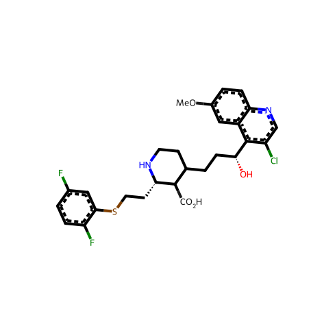 COc1ccc2ncc(Cl)c([C@H](O)CCC3CCN[C@@H](CCSc4cc(F)ccc4F)C3C(=O)O)c2c1